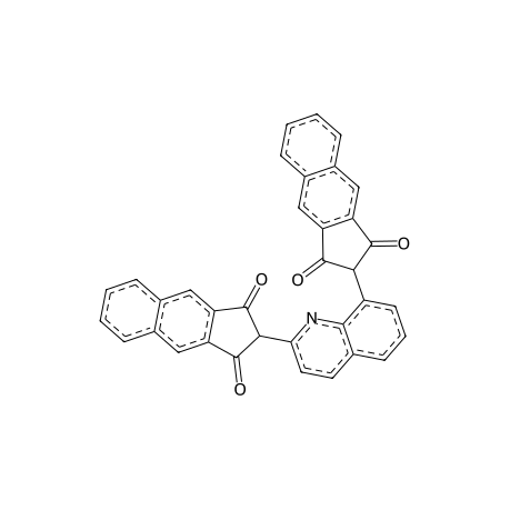 O=C1c2cc3ccccc3cc2C(=O)C1c1ccc2cccc(C3C(=O)c4cc5ccccc5cc4C3=O)c2n1